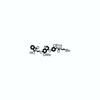 COc1cc2c(Oc3ccc(NC(=O)NCCC(C)(C)C)c(Cl)c3)ccnc2cc1OCCN1C(=O)c2ccccc2C1O